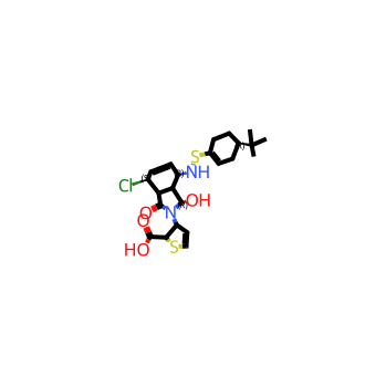 CC(C)(C)[C@H]1CC=C(SN[C@@H]2C=C[C@H](Cl)C3C(=O)N(C4C=CSC4C(=O)O)[C@H](O)C32)CC1